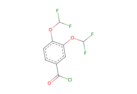 O=C(Cl)c1ccc(OC(F)F)c(OC(F)F)c1